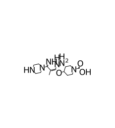 C/C(C(=N)N1CCNCC1)=C(/NN)OC1CCN(C(=O)O)CC1